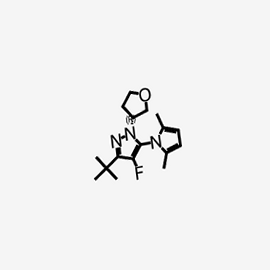 Cc1ccc(C)n1-c1c(F)c(C(C)(C)C)nn1[C@@H]1CCOC1